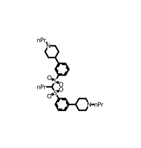 CCCC(S(=O)(=O)c1cccc(C2CCN(CCC)CC2)c1)S(=O)(=O)c1cccc(C2CCN(CCC)CC2)c1